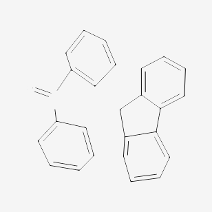 O=[PH](c1ccccc1)c1ccccc1.c1ccc2c(c1)Cc1ccccc1-2